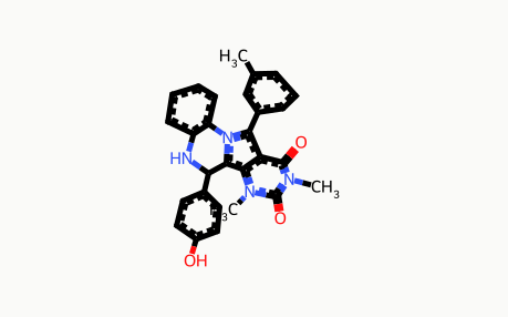 Cc1cccc(-c2c3c(=O)n(C)c(=O)n(C)c3c3n2-c2ccccc2NC3c2ccc(O)cc2)c1